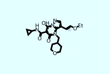 CCO/C=C/c1cnn2c(O)c(C(=O)NC3CC3)c(=O)n(CC3CCOCC3)c12